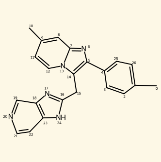 Cc1ccc(-c2nc3cc(C)ccn3c2Cc2nc3cnccc3[nH]2)cc1